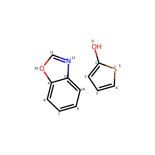 Oc1cccs1.c1ccc2ocnc2c1